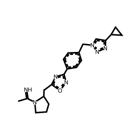 CC(=N)N1CCCC1Cc1nc(-c2ccc(Cn3cc(C4CC4)nn3)cc2)no1